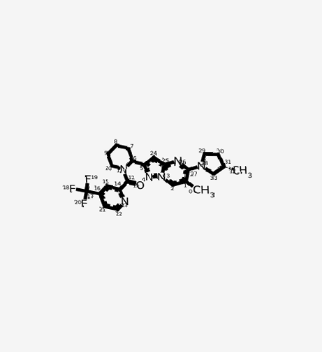 Cc1cn2nc(C3CCCCN3C(=O)c3cc(C(F)(F)F)ccn3)cc2nc1N1CC[C@H](C)C1